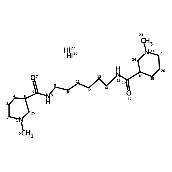 CN1CCCC(C(=O)NCCCCCCNC(=O)C2CCCN(C)C2)C1.I.I